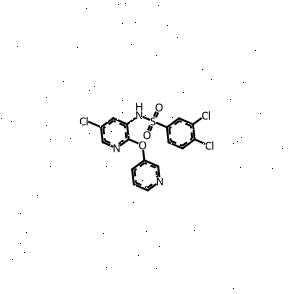 O=S(=O)(Nc1cc(Cl)cnc1Oc1cccnc1)c1ccc(Cl)c(Cl)c1